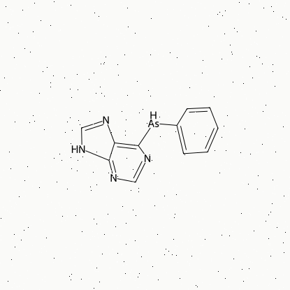 c1ccc([AsH]c2ncnc3[nH]cnc23)cc1